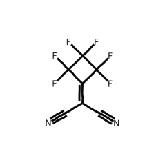 N#CC(C#N)=C1C(F)(F)C(F)(F)C1(F)F